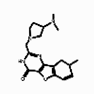 CC1C=Cc2oc3c(=O)[nH]c(CN4CCC(N(C)C)C4)nc3c2C1